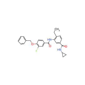 CCc1ccc(C(=O)NC2CC2)cc1NC(=O)c1ccc(OCc2ccccc2)c(F)c1